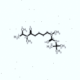 CC(C)N(C)C(=O)CCCCN(C)C(=O)OC(C)(C)C